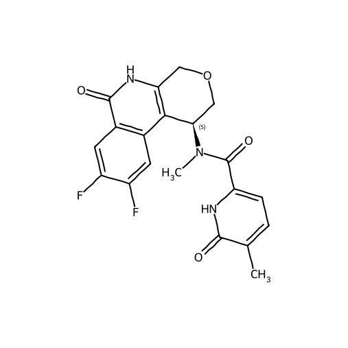 Cc1ccc(C(=O)N(C)[C@@H]2COCc3[nH]c(=O)c4cc(F)c(F)cc4c32)[nH]c1=O